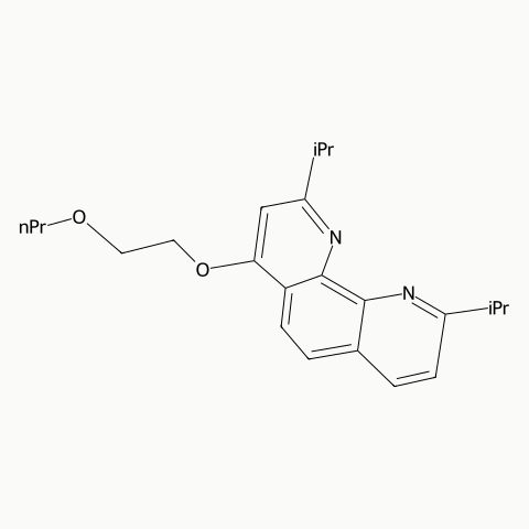 CCCOCCOc1cc(C(C)C)nc2c1ccc1ccc(C(C)C)nc12